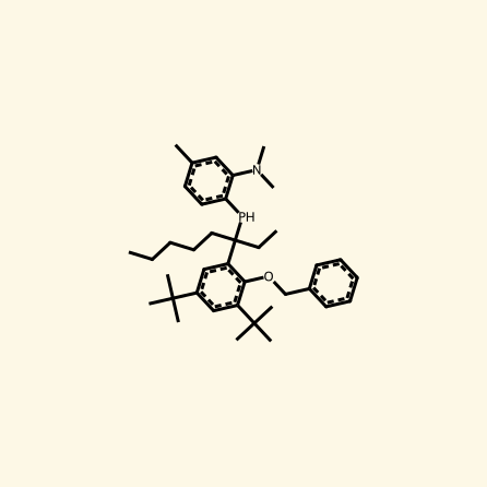 CCCCCC(CC)(Pc1ccc(C)cc1N(C)C)c1cc(C(C)(C)C)cc(C(C)(C)C)c1OCc1ccccc1